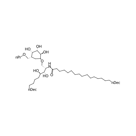 CCCCCCCCCCCCCCCCCCCCCCCCCC(=O)N[C@@H](CO[C@H]1C[C@H](COCCC)[C@H](O)[C@H](O)[C@H]1O)[C@H](O)[C@H](O)CCCCCCCCCCCCCC